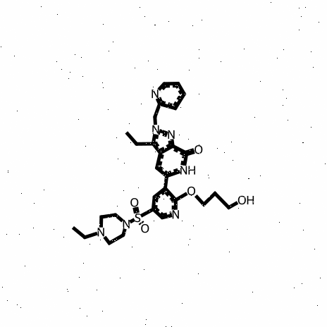 CCc1c2cc(-c3cc(S(=O)(=O)N4CCN(CC)CC4)cnc3OCCCO)[nH]c(=O)c2nn1Cc1ccccn1